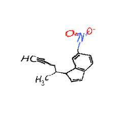 C#CCC(C)C1C=Cc2ccc([N+](=O)[O-])cc21